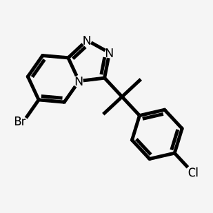 CC(C)(c1ccc(Cl)cc1)c1nnc2ccc(Br)cn12